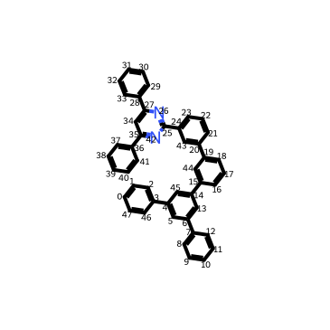 c1ccc(-c2cc(-c3ccccc3)cc(-c3cccc(-c4cccc(-c5nc(-c6ccccc6)cc(-c6ccccc6)n5)c4)c3)c2)cc1